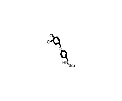 CC(C)(C)NCc1ccc(OCc2ccc(Cl)c(Cl)c2)cc1